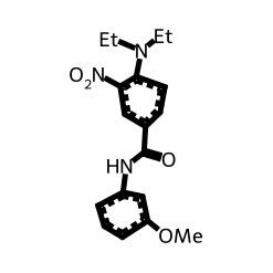 CCN(CC)c1ccc(C(=O)Nc2cccc(OC)c2)cc1[N+](=O)[O-]